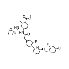 COC(=O)C1=CC=C(NC(=O)Cc2ccc(-c3cccc(OCc4ccc(Cl)cc4F)n3)c(F)c2)C(NC[C@@H]2CCCO2)C1C